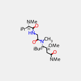 CC[C@H](C)[C@@H]([C@@H](CC(=O)NC)OC)N(C)C(=O)CNC(=O)[C@@H](NC)C(C)C